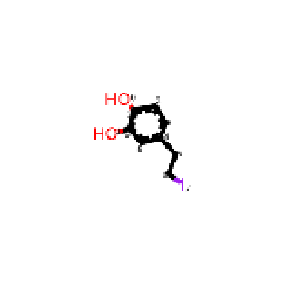 Oc1ccc(CCI)cc1O